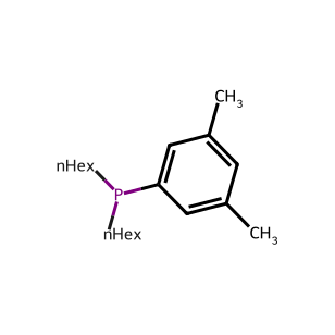 CCCCCCP(CCCCCC)c1cc(C)cc(C)c1